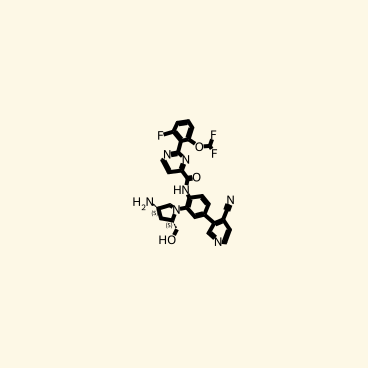 N#Cc1ccncc1-c1ccc(NC(=O)c2ccnc(-c3c(F)cccc3OC(F)F)n2)c(N2C[C@@H](N)C[C@H]2CO)c1